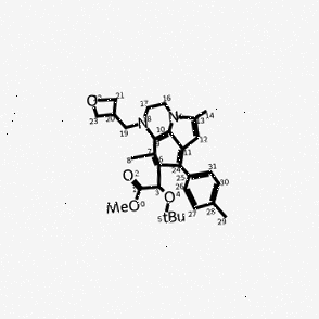 COC(=O)C(OC(C)(C)C)c1c(C)c2c3c(cc(C)n3CCN2CC2COC2)c1-c1ccc(C)cc1